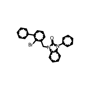 O=c1n(Cc2cccc(-c3ccccc3)c2Br)c2ccccc2n1-c1ccccc1